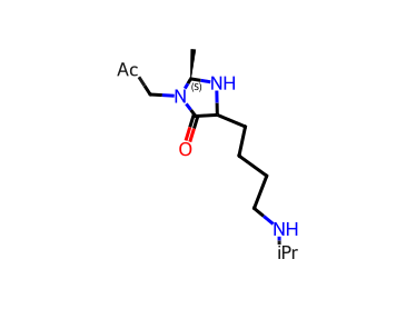 CC(=O)CN1C(=O)C(CCCCNC(C)C)N[C@@H]1C